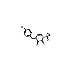 N#CC1(n2ccn(Cc3ccc(Br)cn3)c(=O)c2=O)CC1